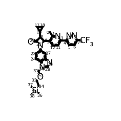 Cc1nc(-c2ccc(C(F)(F)F)nn2)ccc1C1C(C2CC2)C(=O)N1c1ccc2c(c1)ncn2COCC[Si](C)(C)C